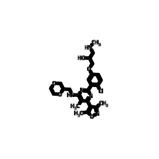 CNCC(O)COc1ccc(Cl)c(-c2nc(NCC3COCCO3)c(C)c(-c3c(C)noc3C)n2)c1